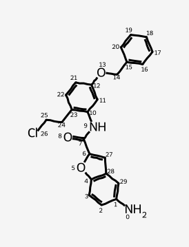 Nc1ccc2oc(C(=O)Nc3cc(OCc4ccccc4)ccc3CCCl)cc2c1